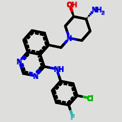 N[C@@H]1CCN(Cc2cccc3ncnc(Nc4ccc(F)c(Cl)c4)c23)C[C@H]1O